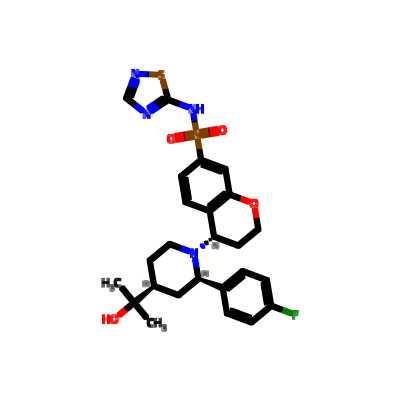 CC(C)(O)[C@H]1CCN([C@H]2CCOc3cc(S(=O)(=O)Nc4ncns4)ccc32)[C@@H](c2ccc(F)cc2)C1